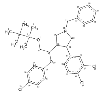 CC(C)(C)[Si](C)(C)OCC(Oc1ccc(Cl)cn1)C1CN(Cc2ccccc2)CC1c1ccc(Cl)c(Cl)c1